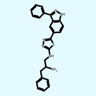 NC(CNc1nnc(-c2ccc3[nH]nc(-c4ccccc4)c3c2)s1)Cc1ccccc1